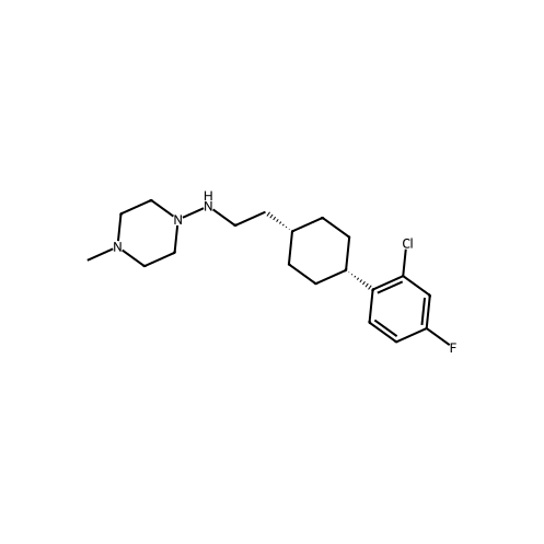 CN1CCN(NCC[C@H]2CC[C@@H](c3ccc(F)cc3Cl)CC2)CC1